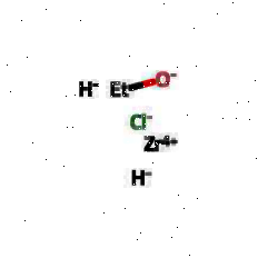 CC[O-].[Cl-].[H-].[H-].[Zr+4]